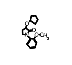 COc1ccccc1N1CCC(OC2CCCC2)C1=O